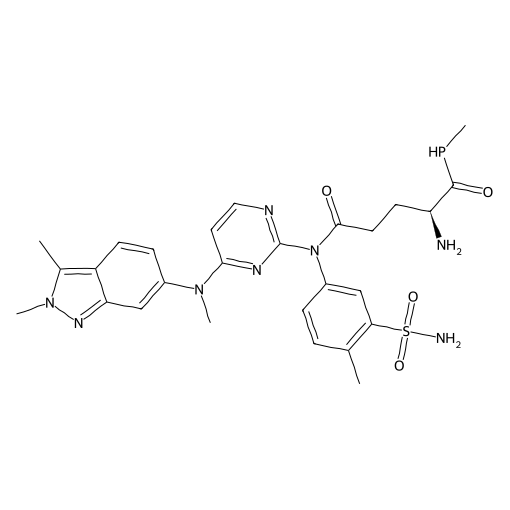 CPC(=O)[C@@H](N)CCC(=O)N(c1ccc(C)c(S(N)(=O)=O)c1)c1nccc(N(C)c2ccc3c(C)n(C)nc3c2)n1